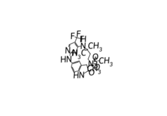 CN(CCC(C)(C)Nc1nc(Nc2ccc3c(c2)CC(=O)N3)ncc1C(F)(F)F)S(C)(=O)=O